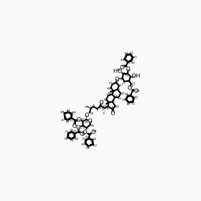 C[C@@H](CCC(=O)[C@@H](C)C1C(=O)CC2C3CCC4CC(O[C@@H]5CC(COC(=O)c6ccccc6)[C@@H](O)C(OC(=O)c6ccccc6)C5O)CCC4(C)C3CCC21C)CO[C@@H]1OC[C@@H](OC(=O)c2ccccc2)C(OC(=O)c2ccccc2)C1OC(=O)c1ccccc1